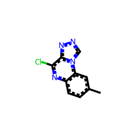 Cc1ccc2nc(Cl)c3nncn3c2c1